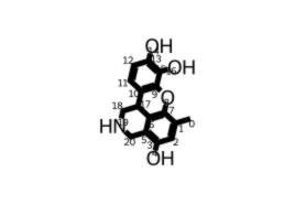 Cc1cc(O)c2c3c1Oc1c(ccc(O)c1O)C3CNC2